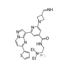 CCN(CC)[C@@H](C)CNC(=O)c1cc(-c2cnn3ccc(-c4cccs4)nc23)nc(N2CC(C=N)C2)c1